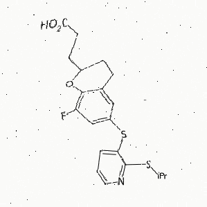 CC(C)Sc1ncccc1Sc1cc(F)c2c(c1)CCC(CCC(=O)O)O2